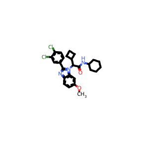 COc1ccc2nc(-c3ccc(Cl)c(Cl)c3)n(C(C(=O)NC3CCCCC3)C3CCC3)c2c1